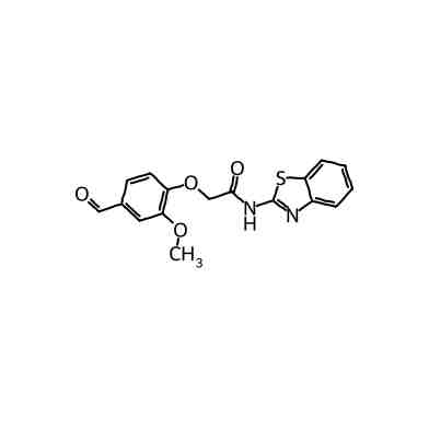 COc1cc(C=O)ccc1OCC(=O)Nc1nc2ccccc2s1